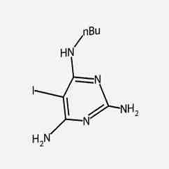 CCCCNc1nc(N)nc(N)c1I